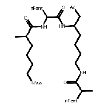 CCCCCC(C)C(=O)NCCCCC(CC(C)=O)NC(=O)C(CCCCC)NC(=O)C(C)CCCCNC